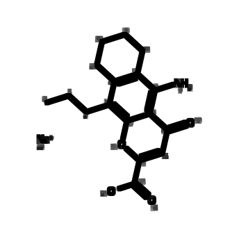 CCCc1c2c(c(N)c3c(=O)cc(C(=O)[O-])oc13)CCCC2.[Na+]